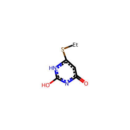 CCSc1cc(=O)nc(O)[nH]1